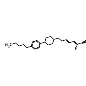 CCCCCc1ccc(C2CCC(CCC=CC=C(F)C#N)CC2)cc1